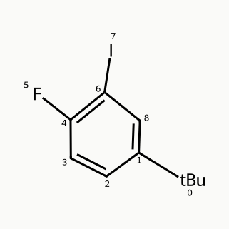 CC(C)(C)c1ccc(F)c(I)c1